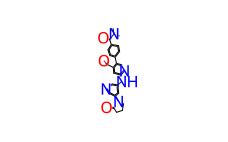 CN(C)C(=O)c1ccc2c(c1)OCc1cc(Nc3cncc(N4CCCC4=O)c3)ncc1-2